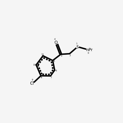 CCCSCC(=O)c1ccc(Cl)cc1